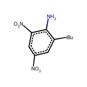 CCC(C)c1cc([N+](=O)[O-])cc([N+](=O)[O-])c1N